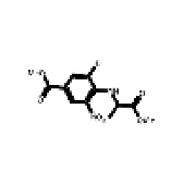 COC(=O)c1cc(Br)c(NC(C)C(=O)OC)c([N+](=O)[O-])c1